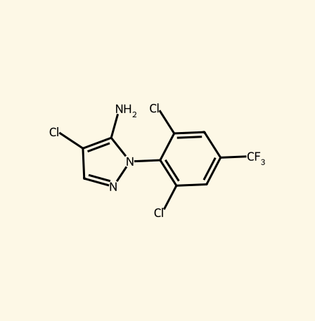 Nc1c(Cl)cnn1-c1c(Cl)cc(C(F)(F)F)cc1Cl